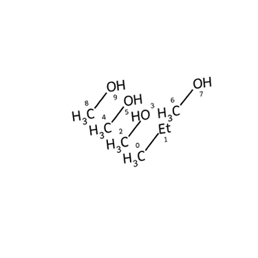 CCC.CO.CO.CO.CO